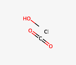 CO.O=C=O.[C]